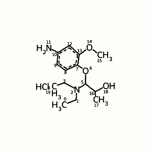 CCN(CC)C(Oc1ccc(N)cc1OC)C(C)O.Cl